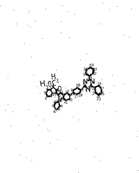 CC1(C)c2ccccc2-c2c1oc1c3cc(-c4ccc(-c5nc(-c6ccccc6)nc(-c6ccccc6)n5)cc4)ccc3n(-c3ccccc3)c21